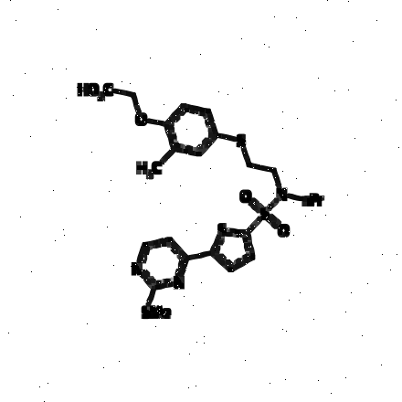 CCCN(CCSc1ccc(OCC(=O)O)c(C)c1)S(=O)(=O)c1ccc(-c2ccnc(SC)n2)s1